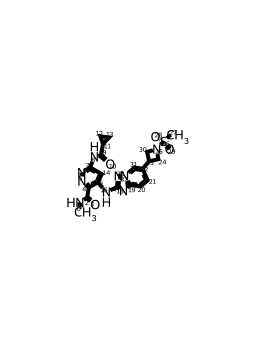 CNC(=O)c1nnc(NC(=O)C2CC2)cc1Nc1nc2ccc(C3CN(S(C)(=O)=O)C3)cn2n1